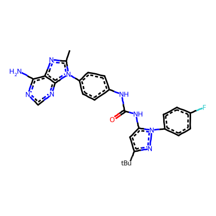 Cc1nc2c(N)ncnc2n1-c1ccc(NC(=O)Nc2cc(C(C)(C)C)nn2-c2ccc(F)cc2)cc1